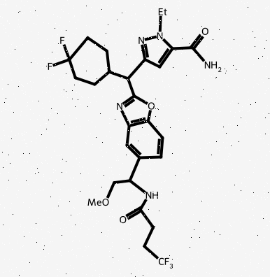 CCn1nc(C(c2nc3cc(C(COC)NC(=O)CCC(F)(F)F)ccc3o2)C2CCC(F)(F)CC2)cc1C(N)=O